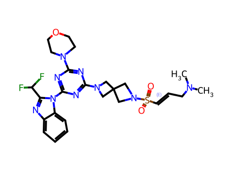 CN(C)C/C=C/S(=O)(=O)N1CC2(CN(c3nc(N4CCOCC4)nc(-n4c(C(F)F)nc5ccccc54)n3)C2)C1